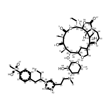 CC[C@H]1OC(=O)[C@H](C)C(=O)[C@H](C)[C@@H](O[C@@H]2O[C@H](C)C[C@H](N(C)CCc3cn([C@H](CF)Cc4ccc(S(C)(=O)=O)cc4)nn3)[C@H]2O)[C@@]2(C)C[C@@H](CO2)C2=NCCN3C(=O)O[C@@]1(C)[C@H]3[C@H]2C